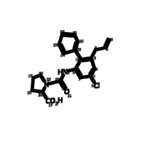 C=CCc1cc(Cl)cc(NC(=O)N2CCCC2C(=O)O)c1-c1ccccc1